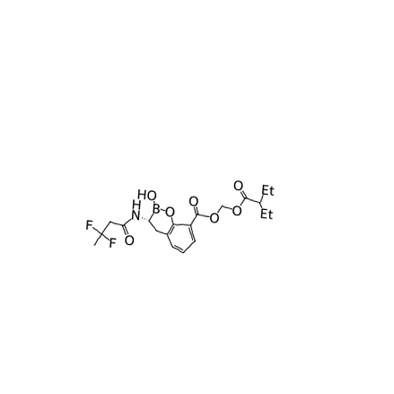 CCC(CC)C(=O)OCOC(=O)c1cccc2c1OB(O)[C@@H](NC(=O)CC(C)(F)F)C2